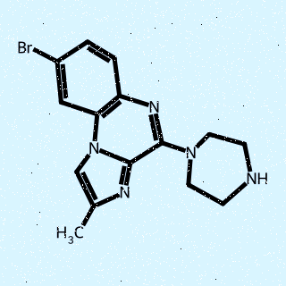 Cc1cn2c(n1)c(N1CCNCC1)nc1ccc(Br)cc12